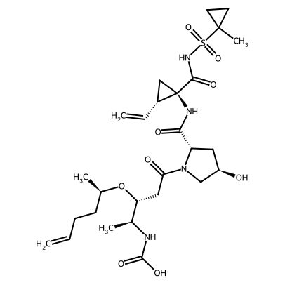 C=CCC[C@@H](C)O[C@H](CC(=O)N1C[C@H](O)C[C@H]1C(=O)N[C@]1(C(=O)NS(=O)(=O)C2(C)CC2)C[C@H]1C=C)[C@H](C)NC(=O)O